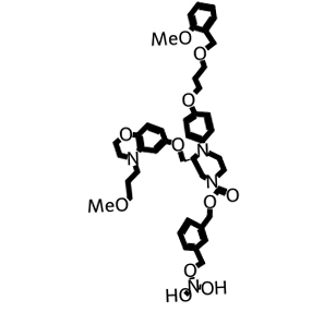 COCCCN1CCOc2ccc(OC[C@H]3CN(C(=O)OCc4cccc(CON(O)O)c4)CCN3c3ccc(OCCCOCc4ccccc4OC)cc3)cc21